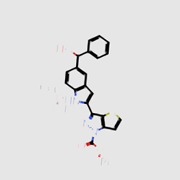 CC(C)(C)OC(=O)n1nc(-c2cc3cc(C(O)c4ccccc4)ccc3[nH]2)c2sccc21.CC(C)(C)OC=O